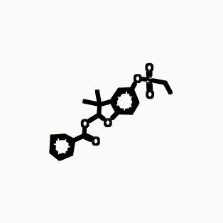 CCS(=O)(=O)Oc1ccc2c(c1)C(C)(C)C(OC(=O)c1ccccc1)O2